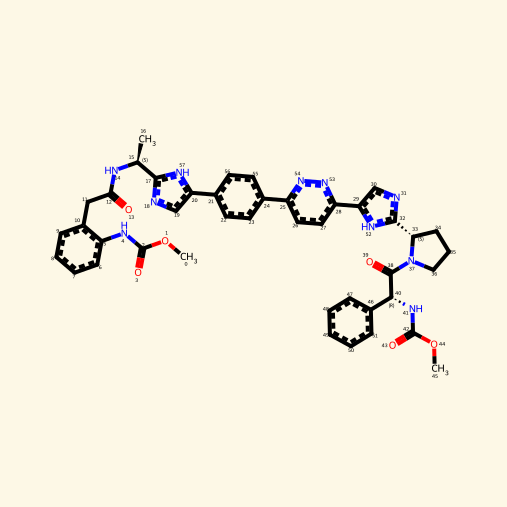 COC(=O)Nc1ccccc1CC(=O)N[C@@H](C)c1ncc(-c2ccc(-c3ccc(-c4cnc([C@@H]5CCCN5C(=O)[C@H](NC(=O)OC)c5ccccc5)[nH]4)nn3)cc2)[nH]1